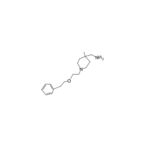 CC1(CN)CCN(CCOCCc2ccccc2)CC1